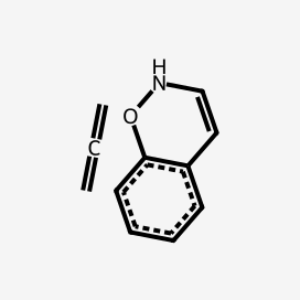 C1=Cc2ccccc2ON1.C=C=C